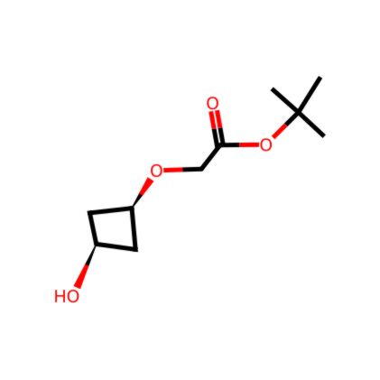 CC(C)(C)OC(=O)CO[C@H]1C[C@@H](O)C1